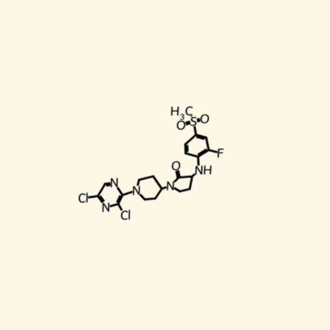 CS(=O)(=O)c1ccc(NC2CCN(C3CCN(c4ncc(Cl)nc4Cl)CC3)C2=O)c(F)c1